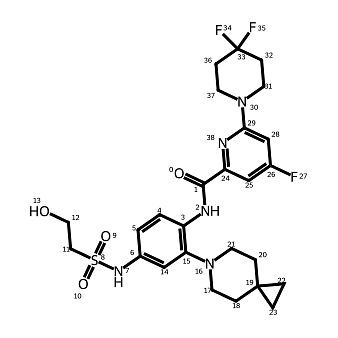 O=C(Nc1ccc(NS(=O)(=O)CCO)cc1N1CCC2(CC1)CC2)c1cc(F)cc(N2CCC(F)(F)CC2)n1